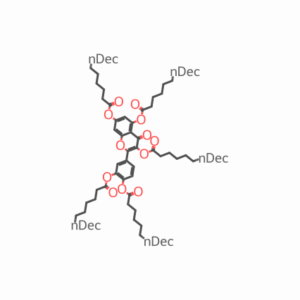 CCCCCCCCCCCCCCCC(=O)Oc1cc(OC(=O)CCCCCCCCCCCCCCC)c2c(=O)c(OC(=O)CCCCCCCCCCCCCCC)c(-c3ccc(OC(=O)CCCCCCCCCCCCCCC)c(OC(=O)CCCCCCCCCCCCCCC)c3)oc2c1